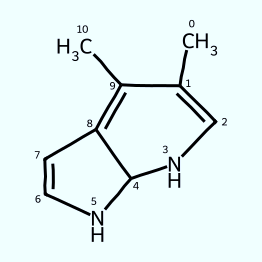 CC1=CNC2NC=CC2=C1C